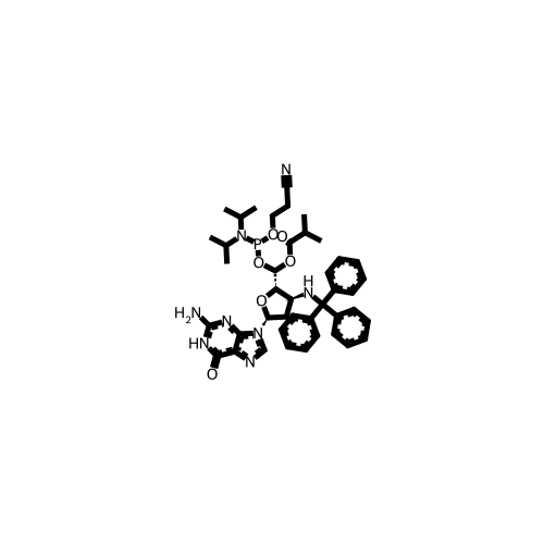 CC(C)C(=O)OC(OP(OCCC#N)N(C(C)C)C(C)C)[C@H]1O[C@@H](n2cnc3c(=O)[nH]c(N)nc32)C[C@@H]1NC(c1ccccc1)(c1ccccc1)c1ccccc1